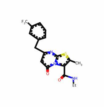 CCNC(=O)c1c(C)sc2nc(Cc3cccc(C(F)(F)F)c3)cc(=O)n12